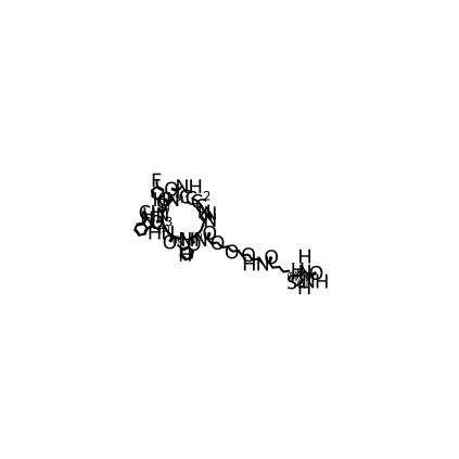 Cn1cc(C[C@@H]2NC(=O)[C@@H](Cc3ccccc3)NC(=O)[C@@H](NC(=O)COCCOCCOCCNC(=O)CCCC[C@H]3SC[C@H]4NC(=O)N[C@H]43)Cc3cn(nn3)CCCC[C@@H](C(N)=O)NC(=O)[C@H](Cc3ccc(F)cc3)NC2=O)c2ccccc21